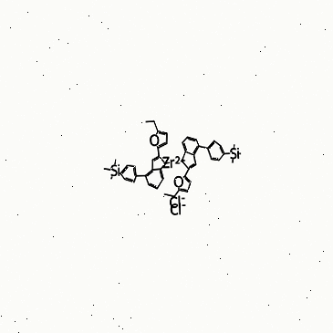 CCc1ccc(C2=Cc3c(-c4ccc([Si](C)(C)C)cc4)cccc3[CH]2[Zr+2][CH]2C(c3ccc(CC)o3)=Cc3c(-c4ccc([Si](C)(C)C)cc4)cccc32)o1.[Cl-].[Cl-]